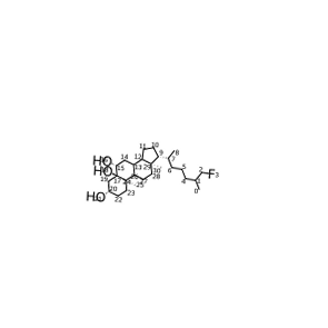 CC(CF)CCCC(C)[C@H]1CCC2C3C[C@@H](O)[C@@]4(O)C[C@@H](O)CC[C@]4(C)C3CC[C@@]21C